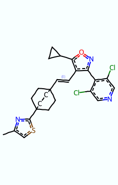 Cc1csc(C23CCC(/C=C/c4c(-c5c(Cl)cncc5Cl)noc4C4CC4)(CC2)CC3)n1